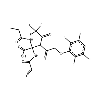 CCC(=O)NC(NC(=O)C=O)(C(=O)O)C(C(=O)COc1c(F)c(F)cc(F)c1F)C(=O)C(F)(F)F